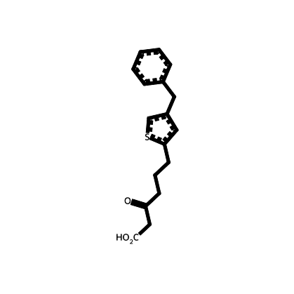 O=C(O)CC(=O)CCCc1cc(Cc2ccccc2)cs1